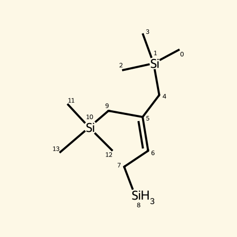 C[Si](C)(C)CC(=CC[SiH3])C[Si](C)(C)C